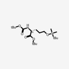 CC(C)(C)OC(=O)N[C@H](CCCO[Si](C)(C)C(C)(C)C)C(=O)OC(C)(C)C